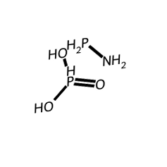 NP.O=[PH](O)O